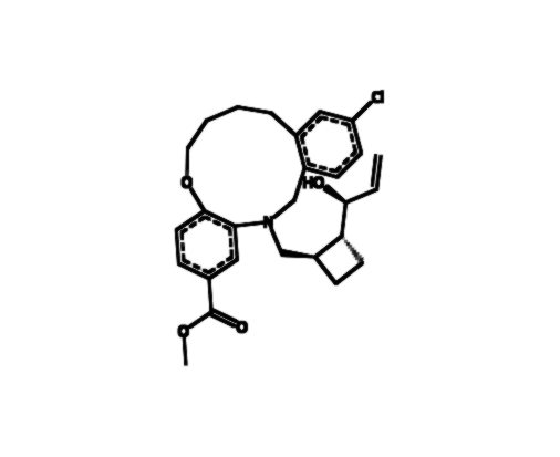 C=C[C@H](O)[C@@H]1CC[C@H]1CN1Cc2ccc(Cl)cc2CCCCOc2ccc(C(=O)OC)cc21